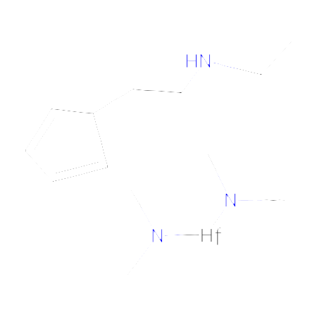 CCNCCC1C=CC=C1.C[N](C)[Hf][N](C)C